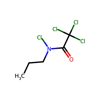 CCCN(Cl)C(=O)C(Cl)(Cl)Cl